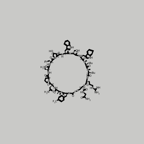 CCCC[C@H]1C(=O)N(C)[C@@H](CCCC)C(=O)N[C@@H](CCCNC(=N)N)C(=O)N[C@H](C(=O)NCC(N)=O)CSCC(=O)N[C@@H](Cc2ccc(C(F)(F)F)cc2)C(=O)N(C)[C@@H](C)C(=O)N[C@@H](CC(N)=O)C(=O)N2CCC[C@H]2C(=O)N[C@@H](CN)C(=O)N[C@@H](CC(C)C)C(=O)N2C[C@H](O)C[C@H]2C(=O)N[C@@H](Cc2c[nH]c3ccccc23)C(=O)N[C@@H](CO)C(=O)N[C@@H](Cc2c[nH]c3ccccc23)C(=O)N1C